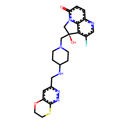 O=c1ccc2ncc(F)c3c2n1C[C@@]3(O)CN1CCC(NCc2cc3c(nn2)SCCO3)CC1